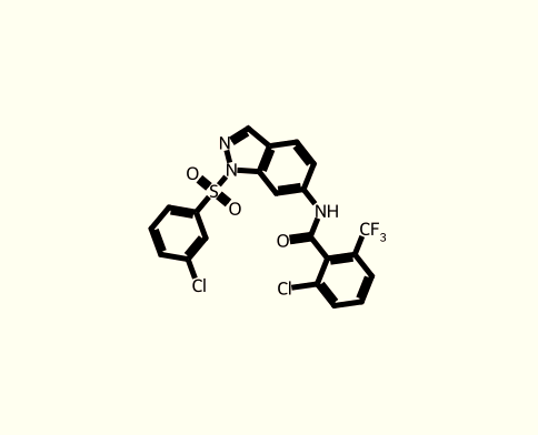 O=C(Nc1ccc2cnn(S(=O)(=O)c3cccc(Cl)c3)c2c1)c1c(Cl)cccc1C(F)(F)F